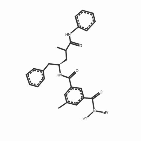 [CH2]C(C[C@H](Cc1ccccc1)NC(=O)c1cc(C)cc(C(=O)N(CCC)CCC)c1)C(=O)Nc1ccccc1